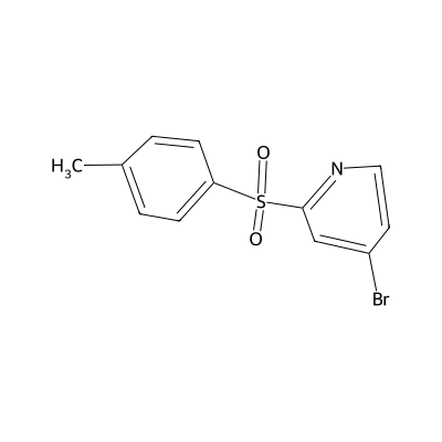 Cc1ccc(S(=O)(=O)c2cc(Br)ccn2)cc1